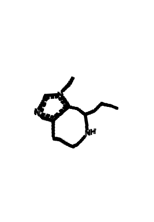 CCC1NCCc2ncn(C)c21